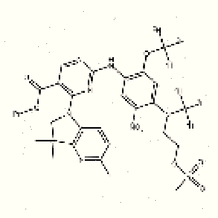 [2H]C([2H])([2H])Oc1cc(N(CCOS(C)(=O)=O)C([2H])([2H])[2H])c([N+](=O)[O-])cc1Nc1ncc(C(=O)OC(C)C)c(N2CC(C)(C)c3nc(C)ccc32)n1